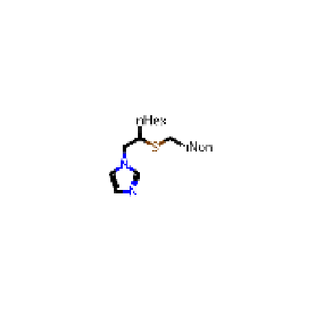 CCCCCCCCCCSC(CCCCCC)Cn1ccnc1